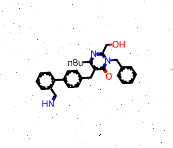 CCCCc1nc(CO)n(Cc2ccccc2)c(=O)c1Cc1ccc(-c2ccccc2C=N)cc1